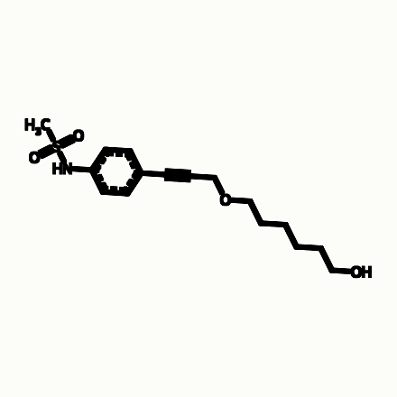 CS(=O)(=O)Nc1ccc(C#CCOCCCCCCO)cc1